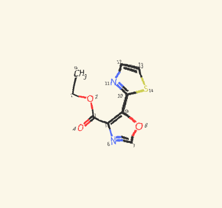 CCOC(=O)c1ncoc1-c1nccs1